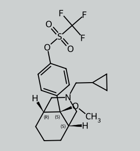 CO[C@]1(c2ccc(OS(=O)(=O)C(F)(F)F)cc2)[C@@H]2CCC[C@H]1CN(CC1CC1)C2